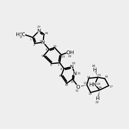 Cc1cn(-c2ccc(-c3ccc(O[C@@H]4C[C@H]5CC[C@@H](C4)N5)nn3)c(O)c2)cn1